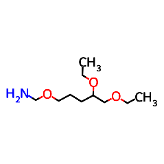 CCOCC(CCCOCN)OCC